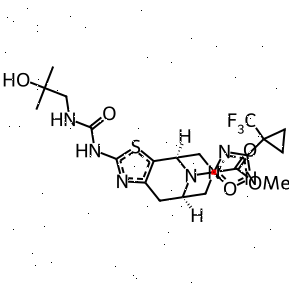 COC(=O)N1C[C@H]2Cc3nc(NC(=O)NCC(C)(C)O)sc3[C@@H](C1)N2c1nc(C2(C(F)(F)F)CC2)no1